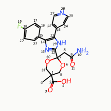 CC1(C(=O)O)COC(CC(N)=O)(c2nc(-c3ccc(F)cc3)c(-c3ccncc3)[nH]2)OC1